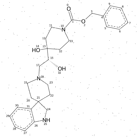 O=C(OCc1ccccc1)N1CCC(O)([C@H](O)CN2CCC3(CC2)CNc2ccccc23)CC1